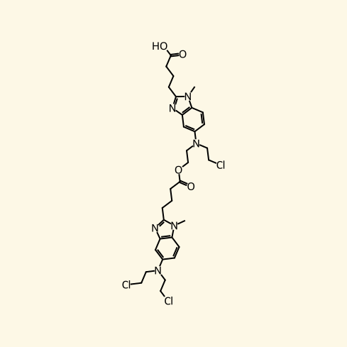 Cn1c(CCCC(=O)O)nc2cc(N(CCCl)CCOC(=O)CCCc3nc4cc(N(CCCl)CCCl)ccc4n3C)ccc21